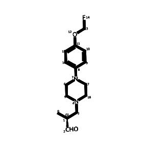 C[C@H](C=O)CN1CCN(c2ccc(OCF)cc2)CC1